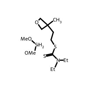 CCN(CC)C(=S)SCCC1(C)COC1.CO[SiH2]OC